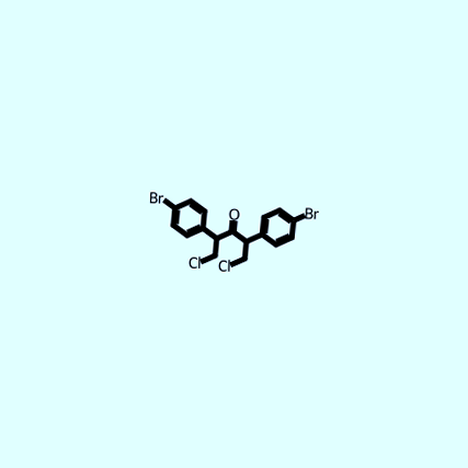 O=C(C(CCl)c1ccc(Br)cc1)C(CCl)c1ccc(Br)cc1